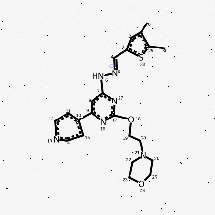 Cc1cc(/C=N/Nc2cc(-c3ccncc3)nc(OCCN3CCOCC3)n2)sc1C